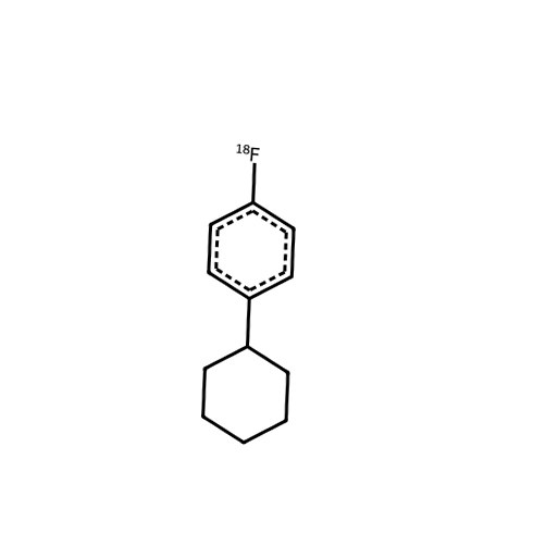 [18F]c1ccc(C2CCCCC2)cc1